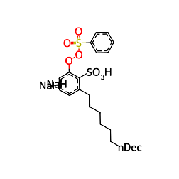 CCCCCCCCCCCCCCCCc1cccc(OOS(=O)(=O)c2ccccc2)c1S(=O)(=O)O.[NaH].[NaH]